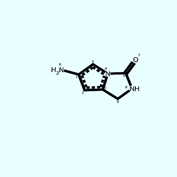 Nc1cc2n(c1)C(=O)NC2